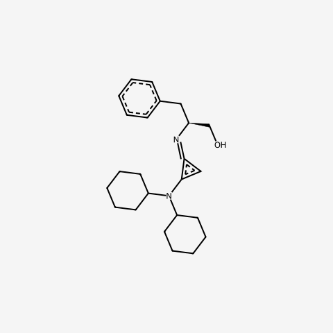 OC[C@H](Cc1ccccc1)/N=c1\cc1N(C1CCCCC1)C1CCCCC1